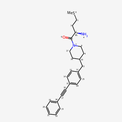 CSCC[C@@H](N)C(=O)N1CCC(Cc2ccc(C#Cc3ccccc3)cc2)CC1